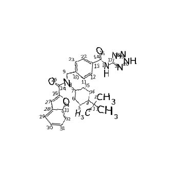 CC(C)(C)C1CCC(N(Cc2ccc(C(=O)Nc3nn[nH]n3)cc2)C(=O)c2cc3ccccc3o2)CC1